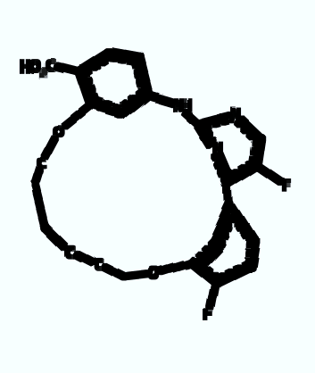 O=C(O)c1ccc2cc1OCCCCCCOc1cc(ccc1F)-c1nc(ncc1F)N2